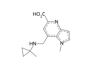 Cn1ccc2nc(C(=O)O)cc(CNC3(C)CC3)c21